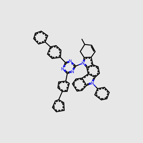 CC1C=Cc2c(n(-c3nc(-c4ccc(-c5ccccc5)cc4)nc(-c4ccc(-c5ccccc5)cc4)n3)c3c2ccc2c3c3ccccc3n2-c2ccccc2)C1